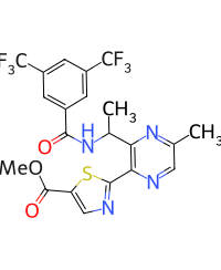 COC(=O)c1cnc(-c2ncc(C)nc2C(C)NC(=O)c2cc(C(F)(F)F)cc(C(F)(F)F)c2)s1